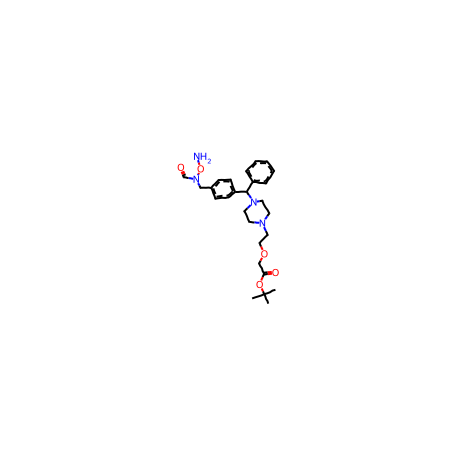 CC(C)(C)OC(=O)COCCN1CCN(C(c2ccccc2)c2ccc(CN(C=O)ON)cc2)CC1